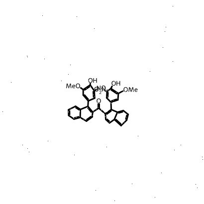 COc1cc(-c2c(C(=O)c3ccc4ccccc4c3-c3cc(OC)c(O)c([N+](=O)[O-])c3)ccc3ccccc23)cc([N+](=O)[O-])c1O